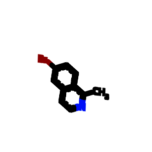 Cc1nccc2cc(Br)ccc12